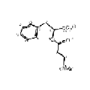 CCCCCCCCCCCC(=O)OC(Cc1ccccc1)C(=O)O